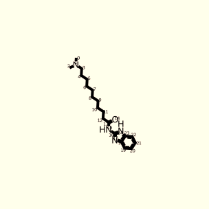 CN(C)CCCCCCCCCCC(=O)Nc1nc2ccccc2[nH]1